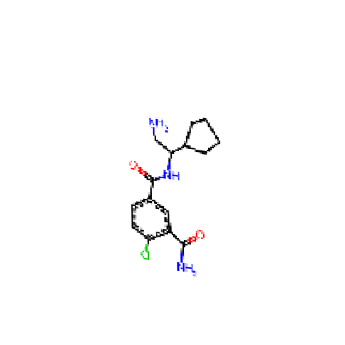 NCC(NC(=O)c1ccc(Cl)c(C(N)=O)c1)C1CCCC1